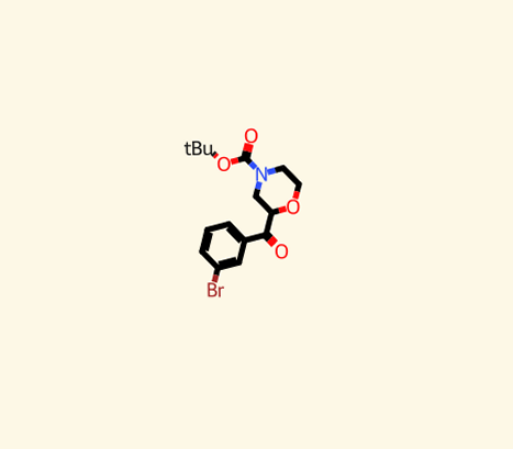 CC(C)(C)OC(=O)N1CCOC(C(=O)c2cccc(Br)c2)C1